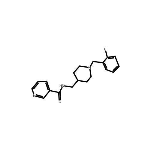 O=C(NCC1CCN(Cc2ccccc2F)CC1)c1cccnc1